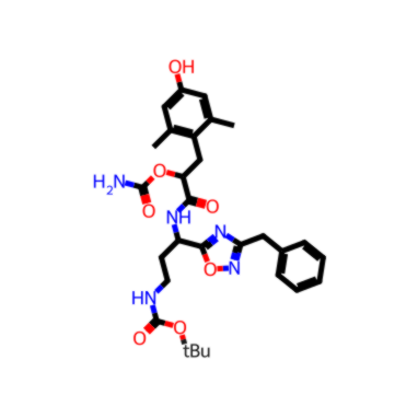 Cc1cc(O)cc(C)c1CC(OC(N)=O)C(=O)NC(CCNC(=O)OC(C)(C)C)c1nc(Cc2ccccc2)no1